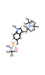 [2H]N(C([2H])([2H])[2H])S(=O)(=O)Cc1ccc2c(c1)c(CC([2H])([2H])N(C([2H])([2H])[2H])C([2H])([2H])[2H])cn2[2H]